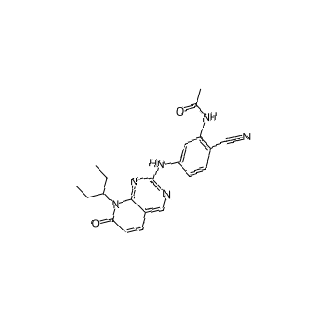 CCC(CC)n1c(=O)ccc2cnc(Nc3ccc(C#N)c(NC(C)=O)c3)nc21